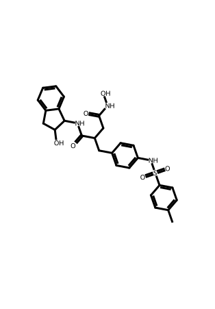 Cc1ccc(S(=O)(=O)Nc2ccc(CC(CC(=O)NO)C(=O)NC3c4ccccc4CC3O)cc2)cc1